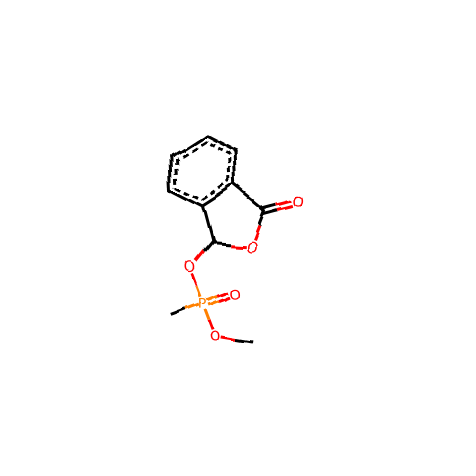 COP(C)(=O)OC1OC(=O)c2ccccc21